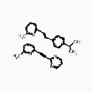 Cc1cccc(C#Cc2ncccn2)n1.Cc1cccc(C=Cc2ccc(C(C)O)cc2)n1